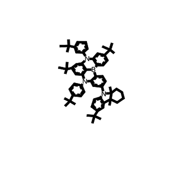 CC(C)(C)c1ccc(N2c3cc(N4c5ccc(C(C)(C)C)cc5C5(C)CCCCC45C)ccc3B3c4ccc(C(C)(C)C)cc4N(c4cccc(C(C)(C)C)c4)c4cc(C(C)(C)C)cc2c43)cc1